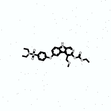 CCOC(=O)Oc1ncc2[nH]c3ccc(Oc4ccc(S(=O)(=O)N(CC)CC)cc4)cc3c2c1COC